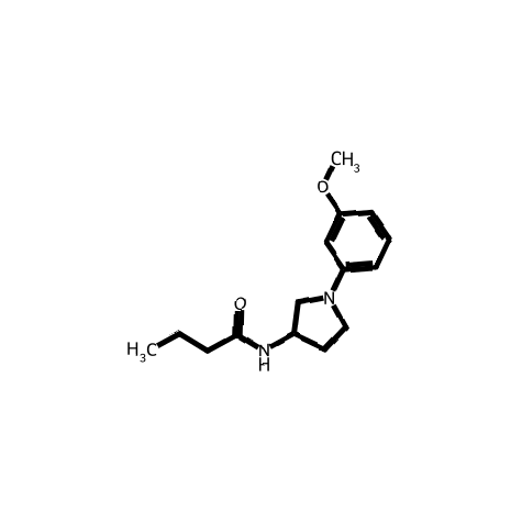 CCCC(=O)NC1CCN(c2cccc(OC)c2)C1